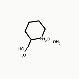 O.O.O.O=C(O)C1CCCCN1